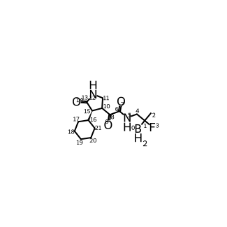 BC(C)(F)CNC(=O)C(=O)C1CNC(=O)[C@@H]1C1CCCCC1